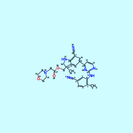 Cc1ccc(C#N)cc1Nc1nccc(-c2cc(C#N)c3c(c2)C(C)(COC(=O)CN2CCOCC2)CN3)n1